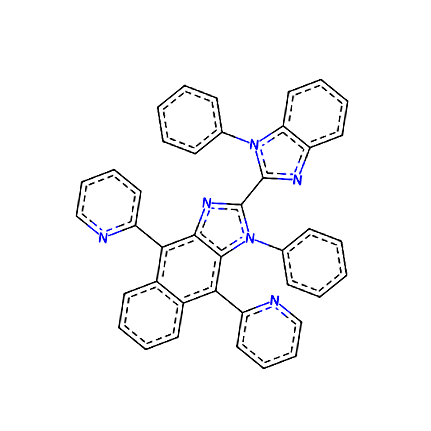 c1ccc(-n2c(-c3nc4c(-c5ccccn5)c5ccccc5c(-c5ccccn5)c4n3-c3ccccc3)nc3ccccc32)cc1